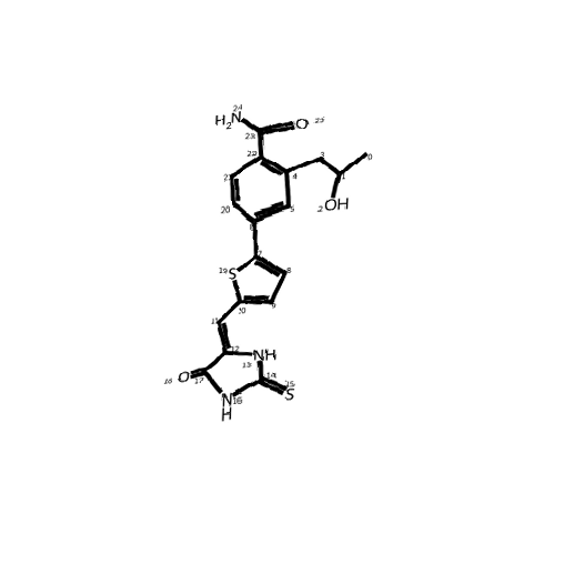 CC(O)Cc1cc(-c2ccc(/C=C3\NC(=S)NC3=O)s2)ccc1C(N)=O